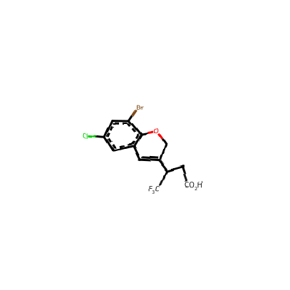 O=C(O)CC(C1=Cc2cc(Cl)cc(Br)c2OC1)C(F)(F)F